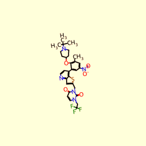 Cc1cc([N+](=O)[O-])cc(-c2ccnc3cc(Cn4c(=O)ccn(CC(F)(F)F)c4=O)sc23)c1OC1CCN(C(C)(C)C)CC1